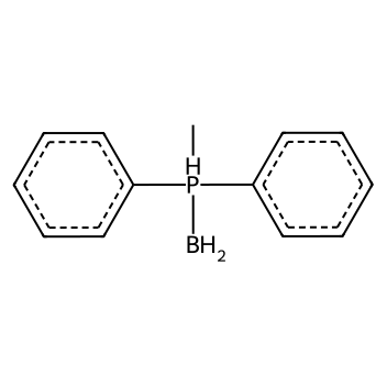 B[PH](C)(c1ccccc1)c1ccccc1